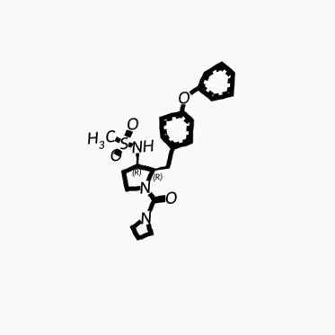 CS(=O)(=O)N[C@@H]1CCN(C(=O)N2CCC2)[C@@H]1Cc1ccc(Oc2ccccc2)cc1